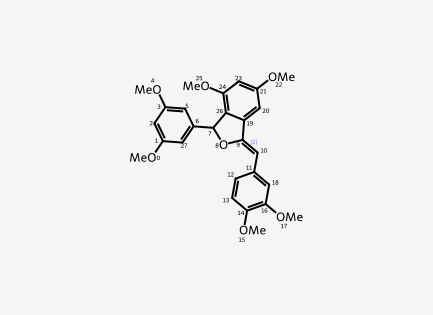 COc1cc(OC)cc(C2O/C(=C\c3ccc(OC)c(OC)c3)c3cc(OC)cc(OC)c32)c1